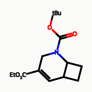 CCOC(=O)C1=CC2CCC2N(C(=O)OC(C)(C)C)C1